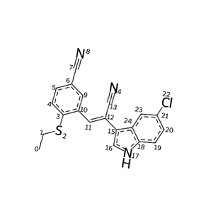 CCSc1ccc(C#N)cc1C=C(C#N)c1c[nH]c2ccc(Cl)cc12